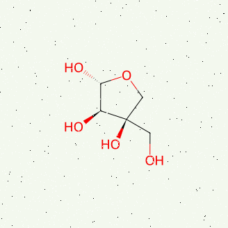 OC[C@@]1(O)CO[C@@H](O)[C@@H]1O